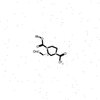 CC(C)(C)OC(=O)N1CCN(C(=O)C(F)(F)F)C[C@@H]1CC=O